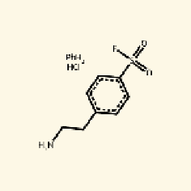 Cl.NCCc1ccc(S(=O)(=O)F)cc1.[PbH2]